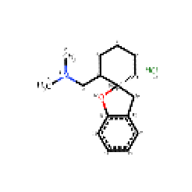 CN(C)CC1CCCC[C@@]12Cc1ccccc1O2.Cl